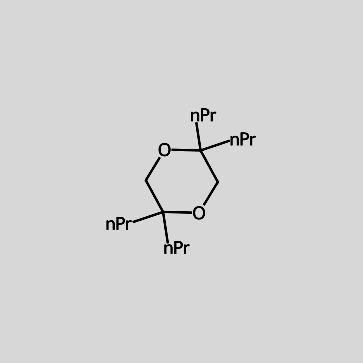 CCCC1(CCC)COC(CCC)(CCC)CO1